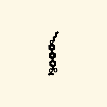 CCCCCOc1ccc(-c2ccc(C3CC=C(C(=O)OC(C)C)CC3)cc2)cc1